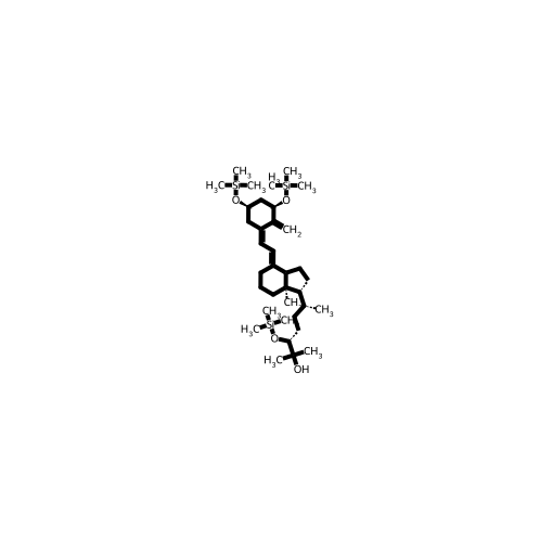 C=C1/C(=C\C=C2CCC[C@@]3(C)C2CC[C@@H]3[C@H](C)CC[C@@H](O[Si](C)(C)C)C(C)(C)O)C[C@@H](O[Si](C)(C)C)C[C@H]1O[Si](C)(C)C